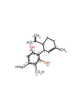 C=C(C)C1CCC(C)=CC1c1c(O)cc(CCCCCCC)c(C(=O)O)c1O